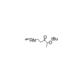 C#CCNCCC(=O)C(C)OC(C)(C)C